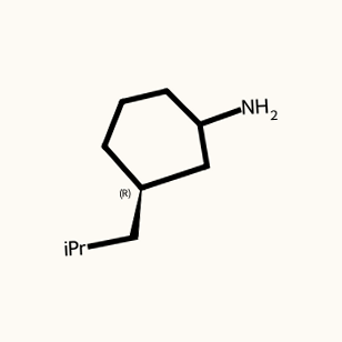 CC(C)C[C@H]1CCCC(N)C1